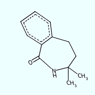 CC1(C)CCc2ccccc2C(=O)N1